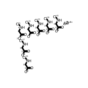 O=C([O-])CNCl.O=C([O-])CNCl.O=C([O-])CNCl.O=C([O-])CNCl.O=C([O-])CNCl.O=C([O-])CNCl.O=C([O-])CNCl.[Al+3].[Zr+4]